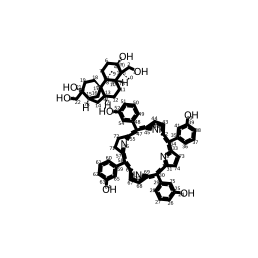 C[C@@]1(CO)[C@H](O)CC[C@@]2(C)[C@H]1CC[C@H]1C[C@@H]3C[C@@]12CC[C@]3(O)CO.Oc1cccc(-c2c3nc(c(-c4cccc(O)c4)c4ccc([nH]4)c(-c4cccc(O)c4)c4nc(c(-c5cccc(O)c5)c5ccc2[nH]5)CC4)C=C3)c1